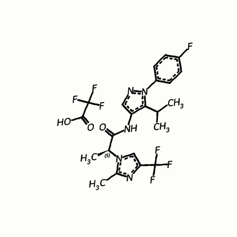 Cc1nc(C(F)(F)F)cn1[C@@H](C)C(=O)Nc1cnn(-c2ccc(F)cc2)c1C(C)C.O=C(O)C(F)(F)F